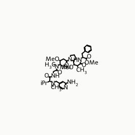 CCC(C)C(C(CC(=O)N1CCCC1C(OC)C(C)C(=O)NC(Cc1ccccc1)C(=O)OC)OC)N(C)C(=O)CNC(=O)C(C(C)C)N(C)Cc1ccnc(N)c1